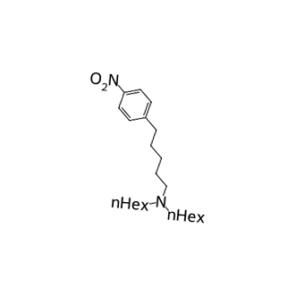 CCCCCCN(CCCCCC)CCCCCc1ccc([N+](=O)[O-])cc1